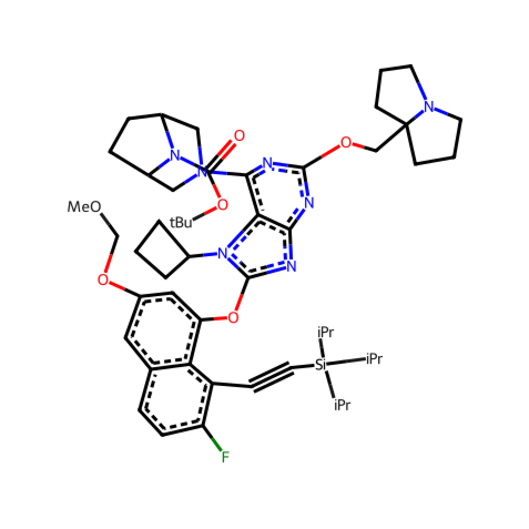 COCOc1cc(Oc2nc3nc(OCC45CCCN4CCC5)nc(N4CC5CCC(C4)N5C(=O)OC(C)(C)C)c3n2C2CCC2)c2c(C#C[Si](C(C)C)(C(C)C)C(C)C)c(F)ccc2c1